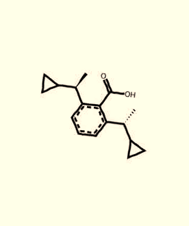 C[C@@H](c1cccc([C@H](C)C2CC2)c1C(=O)O)C1CC1